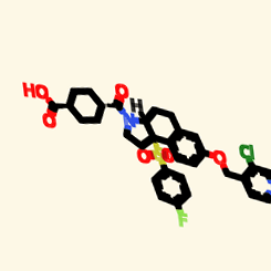 O=C(O)[C@H]1CC[C@H](C(=O)N2CC[C@@]3(S(=O)(=O)c4ccc(F)cc4)c4ccc(OCc5ccncc5Cl)cc4CC[C@@H]23)CC1